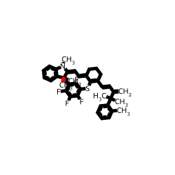 C=C(/C=C/C1=C(Sc2c(F)c(F)c(F)c(F)c2F)C(=C/C=C2/N(C)c3ccccc3C2(C)C)/CCC1)C(C)(C)c1ccccc1C